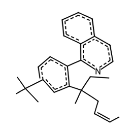 C/C=C\CC(C)(CC)c1cc(C(C)(C)C)ccc1-c1nccc2ccccc12